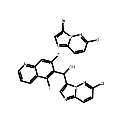 Clc1ccc2ncc(Br)n2n1.OC(c1c(F)cc2ncccc2c1F)c1cnc2ccc(Cl)nn12